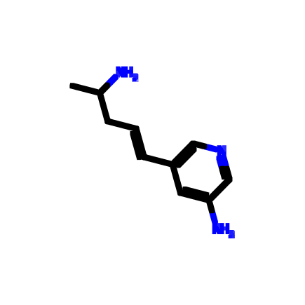 CC(N)CC=Cc1cncc(N)c1